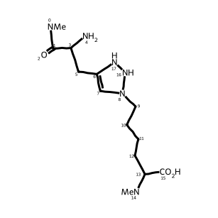 CNC(=O)C(N)CC1=CN(CCCCC(NC)C(=O)O)NN1